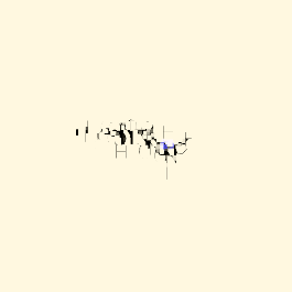 Cc1[nH]c(/C=C2\C(=O)Nc3ccc(F)cc32)c(C)c1NC(=O)C1CCCN(C(=O)OC(C)(C)C)C1